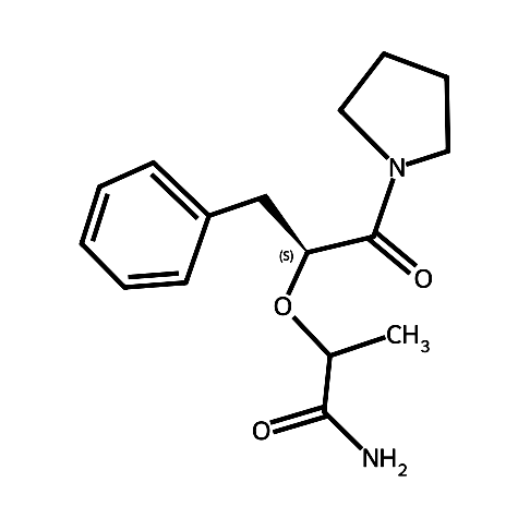 CC(O[C@@H](Cc1ccccc1)C(=O)N1CCCC1)C(N)=O